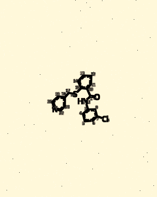 O=C(Nc1cccc(Cl)c1)c1ccccc1SCc1ccncc1